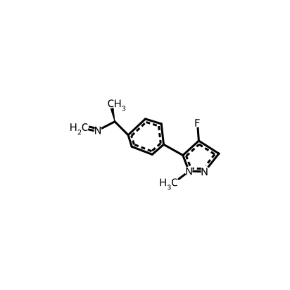 C=N[C@@H](C)c1ccc(-c2c(F)cnn2C)cc1